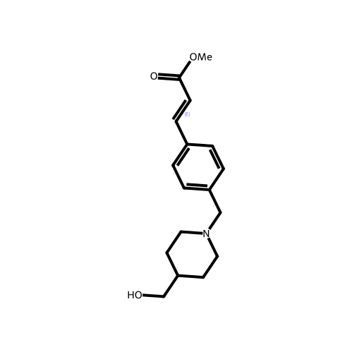 COC(=O)/C=C/c1ccc(CN2CCC(CO)CC2)cc1